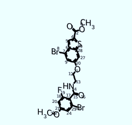 COC(=O)c1cc2c(Br)cc(OCCNC(=O)c3c(F)cc(OC)cc3Br)cc2s1